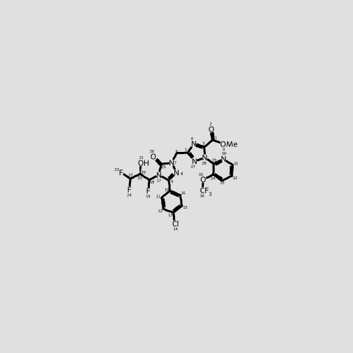 COC(=O)c1nc(Cn2nc(-c3ccc(Cl)cc3)n(C(F)[C@H](O)C(F)F)c2=O)nn1-c1ncccc1OC(F)(F)F